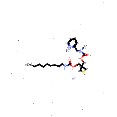 CCCCCCCCCCCCCCCCCCNC(=O)OCC1(COC(=O)N(Cc2cccc[n+]2CC)C(C)=O)CSC1.[I-]